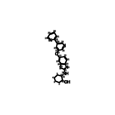 O[C@@H]1CCCC[C@H]1Nc1nc2ccc(Oc3cncc(-c4ccccn4)c3)cc2s1